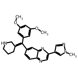 COc1cc(OC)cc(/C(=C2/CCCNC2)c2ccc3ncc(-c4cnn(C)c4)nc3c2)c1